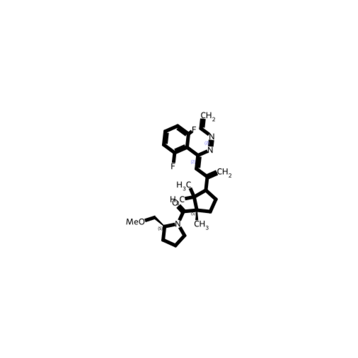 C=C/N=N\C(=C/C(=C)C1CC[C@](C)(C(=O)N2CCC[C@H]2COC)C1(C)C)c1c(F)cccc1F